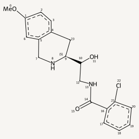 COc1ccc2c(c1)CN[C@H](C(O)CNC(=O)c1ccccc1Cl)C2